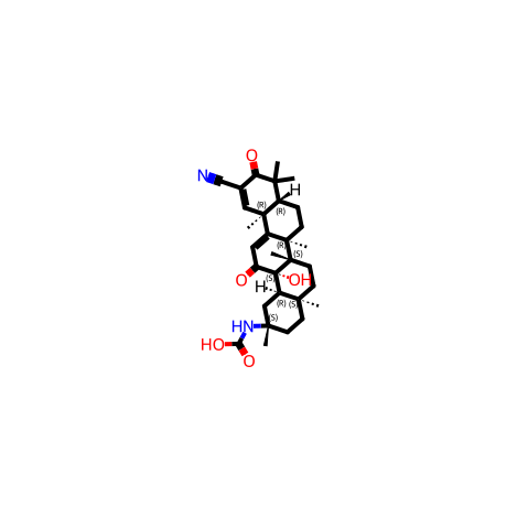 CC1(C)C(=O)C(C#N)=C[C@]2(C)C3=CC(=O)[C@]4(O)[C@@H]5C[C@@](C)(NC(=O)O)CC[C@]5(C)CC[C@@]4(C)[C@]3(C)CC[C@@H]12